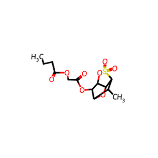 CCCC(=O)OCC(=O)OC1C2OC3C1OS(=O)(=O)C3C2C